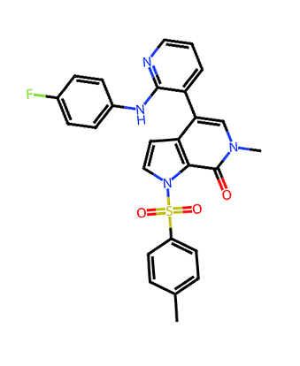 Cc1ccc(S(=O)(=O)n2ccc3c(-c4cccnc4Nc4ccc(F)cc4)cn(C)c(=O)c32)cc1